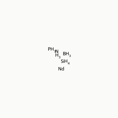 B.N.P.[Nd].[SiH4]